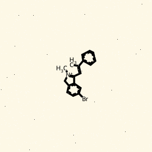 C/C(=C\C1=[N+](C)Cc2ccc(Br)cc21)c1ccccc1